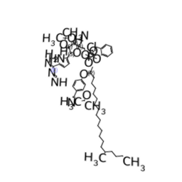 CCCCC(C)CCCCCCCCCCCCCC[C@H](COP(=O)(OC[C@@]1(C#N)O[C@@H](c2ccc(/C(N)=N\C=N)[nH]2)[C@@H]2OC(C)(C)O[C@@H]21)Oc1ccccc1Cl)Oc1ccc(C#N)c(OC(C)C)c1